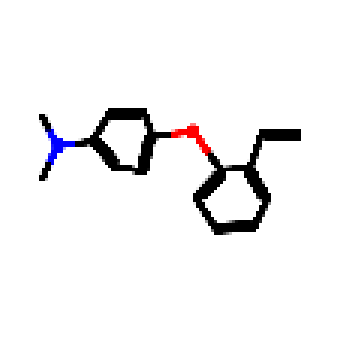 C=Cc1ccccc1Oc1ccc(N(C)C)cc1